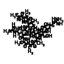 CC[C@H](C)[C@H](NC(=O)[C@H](C)NC(=O)[C@H](C)NC(=O)[C@H](C)NC(=O)[C@H](CCCNC(=N)N)NC(=O)[C@H](CO)NC(=O)[C@@H](NC(=O)[C@H](C)NC(=O)[C@H](C)N)[C@@H](C)CC)C(=O)N[C@@H](CO)C(=O)N[C@@H](CCCNC(=N)N)C(=O)O